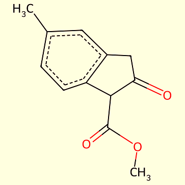 COC(=O)C1C(=O)Cc2cc(C)ccc21